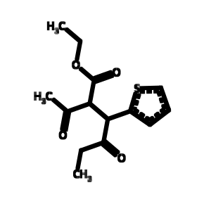 CCOC(=O)C(C(C)=O)C(C(=O)CC)c1cccs1